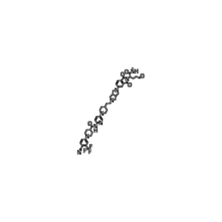 CNC(=O)C(CCC=O)N1C(=O)c2ccc(N3CC4CN(CCC5CCN(c6ccc(NC(=O)C7CCN(c8ccc(C#N)c(C(F)(F)F)c8)CC7)nc6)CC5)CC4C3)cc2C1=O